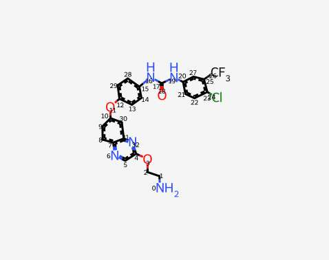 NCCOc1cnc2ccc(Oc3ccc(NC(=O)Nc4ccc(Cl)c(C(F)(F)F)c4)cc3)cc2n1